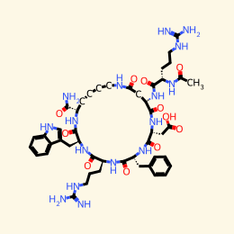 CC(=O)N[C@@H](CCCNC(=N)N)C(=O)N[C@H]1CC(=O)NCCCC[C@@H](C(N)=O)NC(=O)[C@H](Cc2c[nH]c3ccccc23)NC(=O)[C@H](CCCNC(=N)N)NC(=O)[C@@H](Cc2ccccc2)NC(=O)[C@@H](CC(=O)O)NC1=O